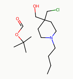 CC(C)(C)OC=O.CCCCN1CCC(CO)(CCl)CC1